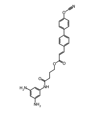 N#COc1ccc(-c2ccc(/C=C/C(=O)OCCCC(=O)Nc3cc(N)cc(N)c3)cc2)cc1